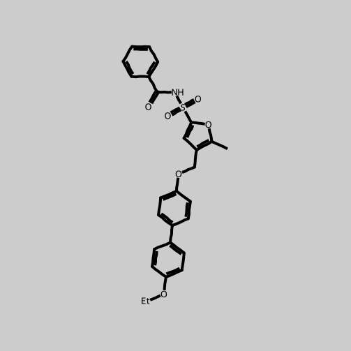 CCOc1ccc(-c2ccc(OCc3cc(S(=O)(=O)NC(=O)c4ccccc4)oc3C)cc2)cc1